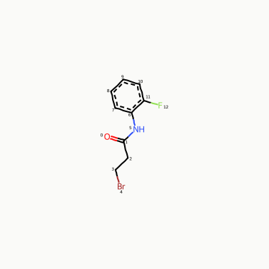 O=C(CCBr)Nc1ccccc1F